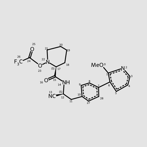 COc1ncccc1-c1ccc(C[C@@H](C#N)NC(=O)[C@@H]2CCCCN2OC(=O)C(F)(F)F)cc1